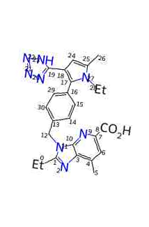 CCc1nc2c(C)cc(C(=O)O)nc2n1Cc1ccc(-c2c(-c3nnn[nH]3)cc(C)n2CC)cc1